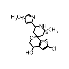 C[C@H]1CC2(CC(c3cn(C)cn3)N1)OCC(O)c1cc(Cl)sc12